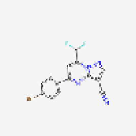 N#Cc1cnn2c(C(F)F)cc(-c3ccc(Br)cc3)nc12